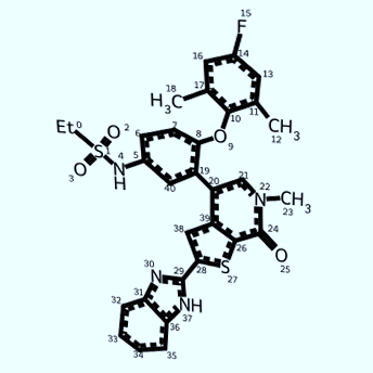 CCS(=O)(=O)Nc1ccc(Oc2c(C)cc(F)cc2C)c(-c2cn(C)c(=O)c3sc(-c4nc5ccccc5[nH]4)cc23)c1